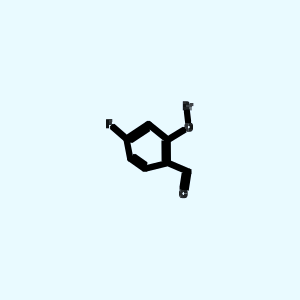 O=Cc1ccc(F)cc1OBr